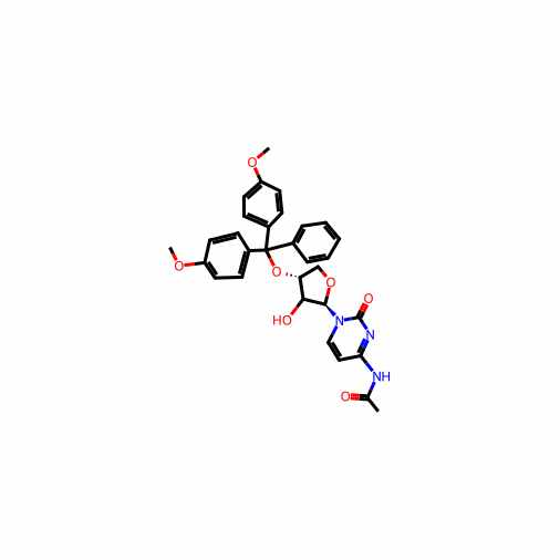 COc1ccc(C(O[C@@H]2CO[C@@H](n3ccc(NC(C)=O)nc3=O)C2O)(c2ccccc2)c2ccc(OC)cc2)cc1